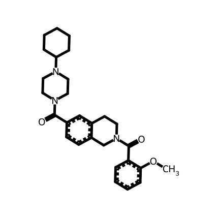 COc1ccccc1C(=O)N1CCc2cc(C(=O)N3CCN(C4CCCCC4)CC3)ccc2C1